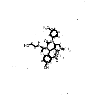 CN1CC2=C(C1=O)C(c1ccc(C#N)cc1S(C)(=O)=O)N(C(=O)NCCO)C(=O)N2c1cccc(C(F)(F)F)c1